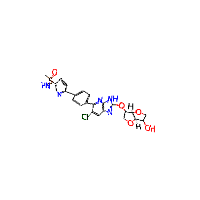 CS(=N)(=O)c1ccc(-c2ccc(-c3nc4[nH]c(O[C@@H]5CO[C@H]6[C@@H]5OC[C@H]6O)nc4cc3Cl)cc2)nc1